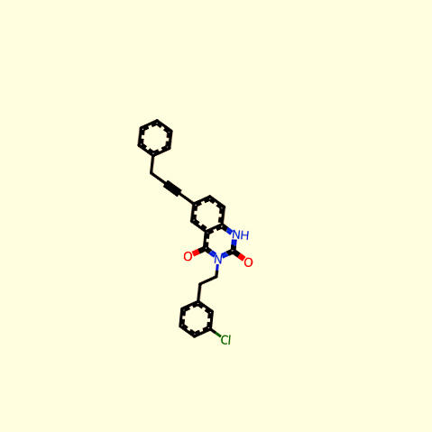 O=c1[nH]c2ccc(C#CCc3ccccc3)cc2c(=O)n1CCc1cccc(Cl)c1